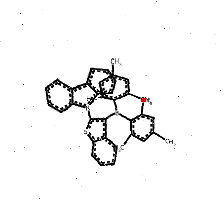 Cc1cc(C)c(B(c2c(C)cc(C)cc2C)c2c(-n3c4ccccc4c4ccccc43)sc3ccccc23)c(C)c1